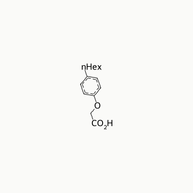 CCCCCCc1ccc(OCC(=O)O)cc1